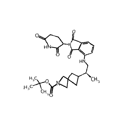 C[C@H](CNc1cccc2c1C(=O)N(C1CCC(=O)NC1=O)C2=O)C1CC2(C1)CN(C(=O)OC(C)(C)C)C2